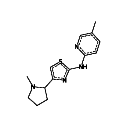 Cc1ccc(Nc2nc(C3CCCN3C)cs2)nc1